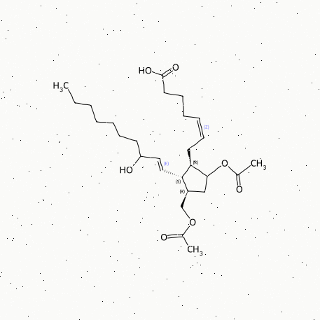 CCCCCCCC(O)/C=C/[C@H]1[C@H](COC(C)=O)CC(OC(C)=O)[C@@H]1C/C=C\CCCC(=O)O